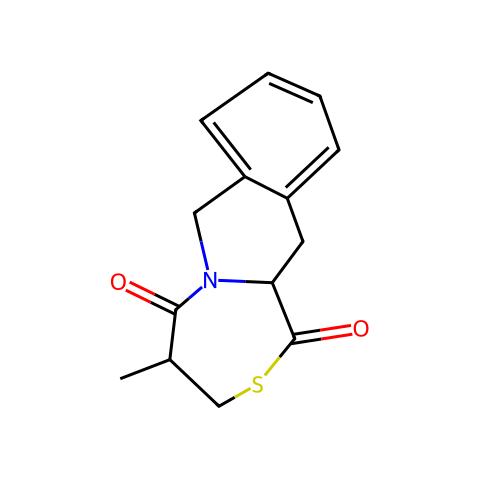 CC1CSC(=O)C2Cc3ccccc3CN2C1=O